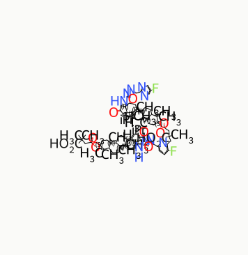 CC(C)C1=C2[C@H]3CCC4[C@@]5(C)CC[C@H](OC(=O)CC(C)(C)C(=O)O)C(C)(C)C5CC[C@@]4(C)[C@]3(C)CC[C@@]2(Nc2nnc(-c3ccc(F)c(CC(C)(CC(=O)O[C@H]4CC[C@@]5(C)C(CC[C@]6(C)C5CC[C@@H]5C7=C(C(C)C)C(=O)C[C@]7(Nc7nnc(-c8ncc(F)cn8)o7)CC[C@]56C)C4(C)C)C(=O)O)n3)o2)CC1=O